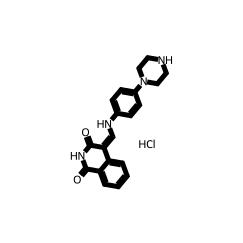 Cl.O=C1NC(=O)c2ccccc2/C1=C/Nc1ccc(N2CCNCC2)cc1